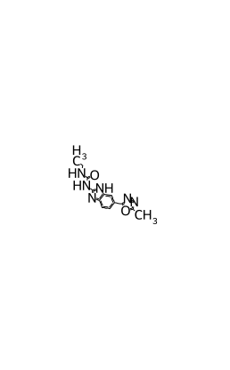 CCNC(=O)Nc1nc2ccc(-c3nnc(C)o3)cc2[nH]1